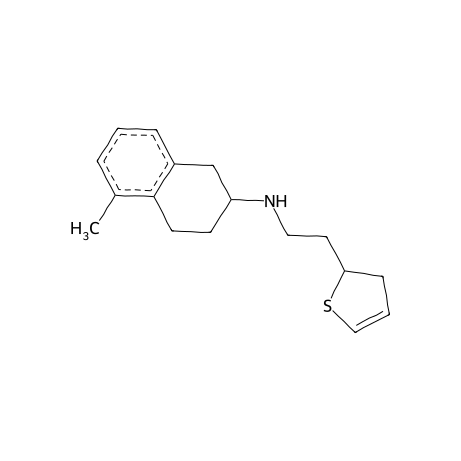 Cc1cccc2c1CCC(NCCC1CC=CS1)C2